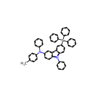 Cc1ccc(N(c2ccccc2)c2ccc3c(c2)c2cc([Si](c4ccccc4)(c4ccccc4)c4ccccc4)ccc2n3-c2ccccc2)cc1